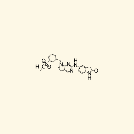 CS(=O)(=O)c1cccc(Cn2ccc3cnc(Nc4ccc5c(c4)CC(=O)N5)nc32)c1